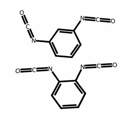 O=C=Nc1cccc(N=C=O)c1.O=C=Nc1ccccc1N=C=O